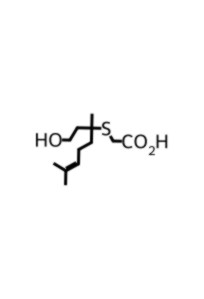 CC(C)=CCCC(C)(CCO)SCC(=O)O